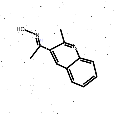 C/C(=N\O)c1cc2ccccc2nc1C